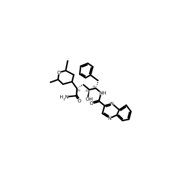 CC1CC([C@H](C[C@H](O)[C@H](Cc2ccccc2)NC(=O)c2cnc3ccccc3n2)C(N)=O)CC(C)O1